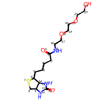 O=C(CCCCC1SCC2NC(=O)NC21)NCCOCCOCCO